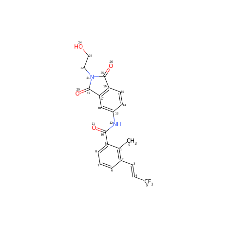 Cc1c(/C=C/C(F)(F)F)cccc1C(=O)Nc1ccc2c(c1)C(=O)N(CCO)C2=O